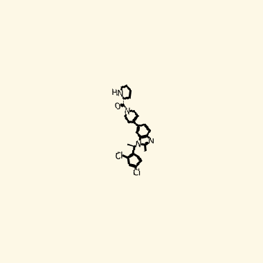 Cc1nc2ccc(C3=CCN(C(=O)[C@H]4CCCCN4)CC3)cc2n1[C@H](C)c1ccc(Cl)cc1Cl